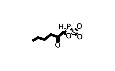 CCCCC(=O)COS(=O)(=O)P